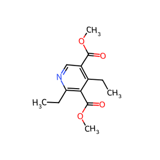 CCc1ncc(C(=O)OC)c(CC)c1C(=O)OC